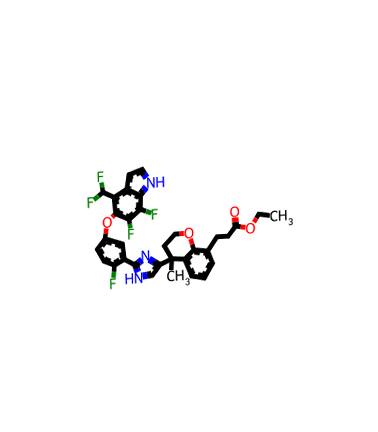 CCOC(=O)CCc1cccc2c1OCCC2(C)c1c[nH]c(-c2cc(Oc3c(F)c(F)c4[nH]ccc4c3C(F)F)ccc2F)n1